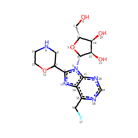 OC[C@H]1O[C@@H](n2c(C3CNCCO3)nc3c(CF)ncnc32)[C@H](O)[C@@H]1O